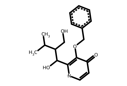 CC(C)C(CO)C(O)C1=C(OCc2ccccc2)C(=O)C=C[N]1